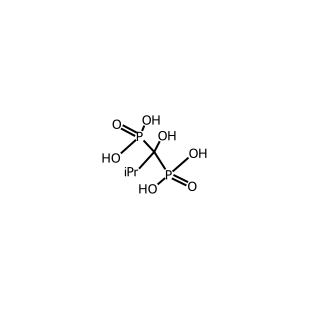 CC(C)C(O)(P(=O)(O)O)P(=O)(O)O